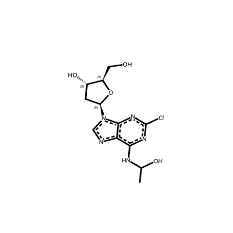 CC(O)Nc1nc(Cl)nc2c1ncn2[C@H]1C[C@H](O)[C@@H](CO)O1